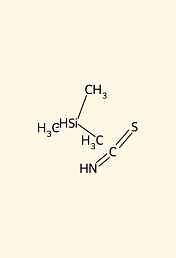 C[SiH](C)C.N=C=S